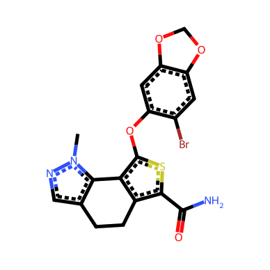 Cn1ncc2c1-c1c(Oc3cc4c(cc3Br)OCO4)sc(C(N)=O)c1CC2